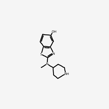 CN(c1nc2cc(O)ccc2s1)C1CCNCC1